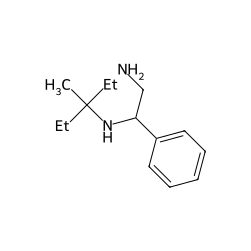 CCC(C)(CC)NC(CN)c1ccccc1